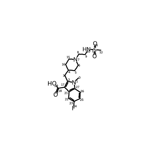 Cn1c(CC2CCN(CCNS(C)(=O)=O)CC2)c(C(=O)O)c2cc(F)ccc21